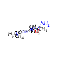 Cc1cc(/C=C/C=C/c2ccc(N(C)C)cc2)cc(C)[n+]1CCCC(=O)N(C)CCCN